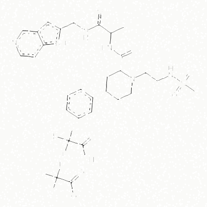 CC(NC(=O)[C@H]1C[C@@H](c2ccccc2)CCN1CCNS(C)(=O)=O)C(=O)NCc1cc2cnccc2[nH]1.O=C(O)C(F)(F)F.O=C(O)C(F)(F)F